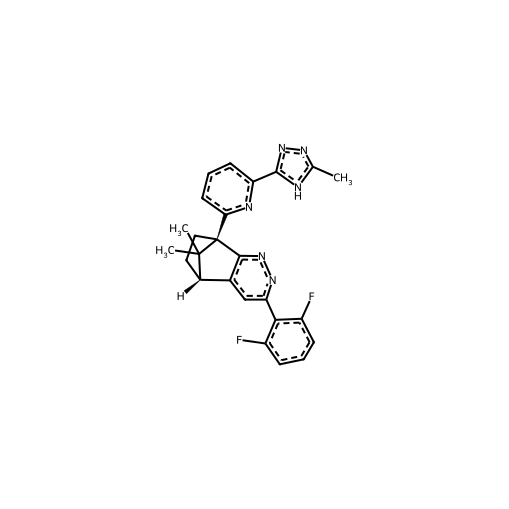 Cc1nnc(-c2cccc([C@@]34CC[C@@H](c5cc(-c6c(F)cccc6F)nnc53)C4(C)C)n2)[nH]1